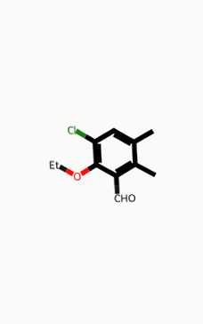 CCOc1c(Cl)cc(C)c(C)c1C=O